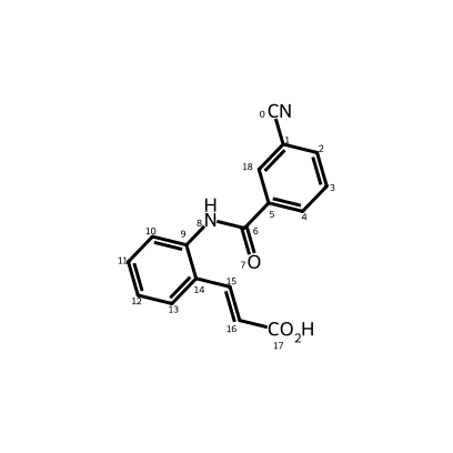 N#Cc1cccc(C(=O)Nc2ccccc2C=CC(=O)O)c1